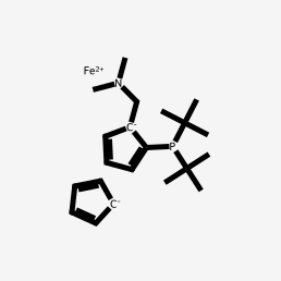 CN(C)C[c-]1cccc1P(C(C)(C)C)C(C)(C)C.[Fe+2].c1cc[cH-]c1